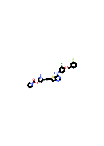 O=C(O[C@@H]1CN[C@@H](C#Cc2cc3ncnc(Nc4ccc(OCc5cccc(F)c5)c(Cl)c4)c3s2)C1)N1CCCC1